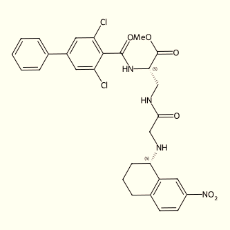 COC(=O)[C@H](CNC(=O)CN[C@H]1CCCc2ccc([N+](=O)[O-])cc21)NC(=O)c1c(Cl)cc(-c2ccccc2)cc1Cl